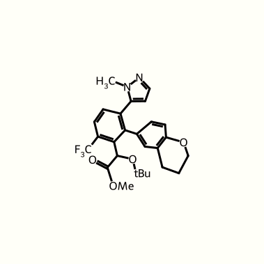 COC(=O)C(OC(C)(C)C)c1c(C(F)(F)F)ccc(-c2ccnn2C)c1-c1ccc2c(c1)CCCO2